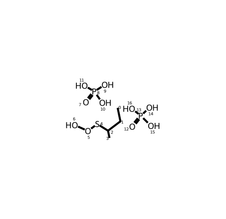 CCC(C)SOO.O=P(O)(O)O.O=P(O)(O)O